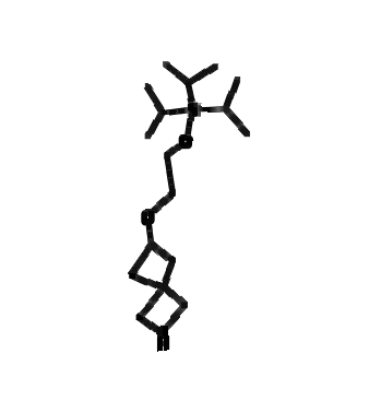 CC(C)[Si](OCCOC1CC2(CNC2)C1)(C(C)C)C(C)C